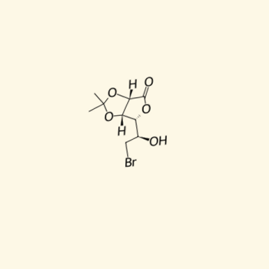 CC1(C)O[C@H]2[C@@H]([C@@H](O)CBr)OC(=O)[C@H]2O1